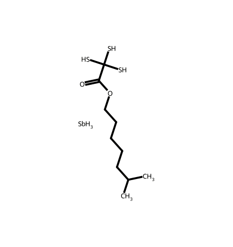 CC(C)CCCCCOC(=O)C(S)(S)S.[SbH3]